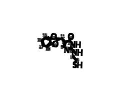 O=c1[nH]c(NCCS)ncc1CC1Oc2ccccc2O1